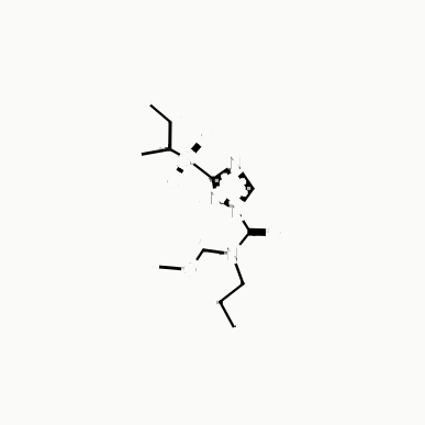 CCCN(COC)C(=O)n1cnc(S(=O)(=O)C(C)CC)n1